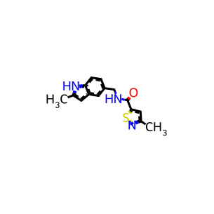 Cc1cc(C(=O)NCc2ccc3[nH]c(C)cc3c2)sn1